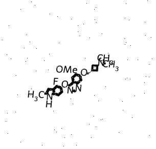 COc1cc2c(Oc3ccc4[nH]c(C)cc4c3F)ncnc2cc1OC[C@H]1C[C@H](N(C)C)C1